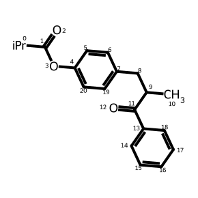 CC(C)C(=O)Oc1ccc(CC(C)C(=O)c2ccccc2)cc1